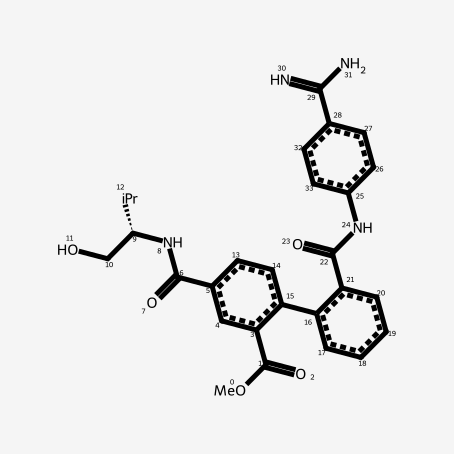 COC(=O)c1cc(C(=O)N[C@H](CO)C(C)C)ccc1-c1ccccc1C(=O)Nc1ccc(C(=N)N)cc1